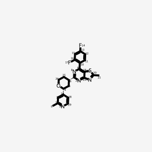 Cc1cc([C@H]2C[C@@H](c3nc(-c4ccc(F)cc4F)c4sc(C)nc4n3)CCO2)ccn1